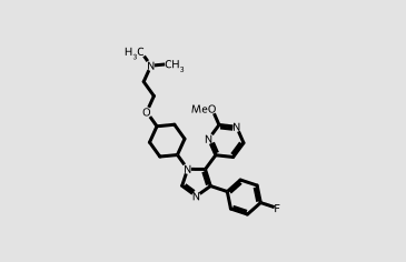 COc1nccc(-c2c(-c3ccc(F)cc3)ncn2C2CCC(OCCN(C)C)CC2)n1